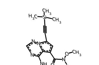 CON(C)C(=O)c1cc(C#C[Si](C)(C)C)n2ncnc(N)c12